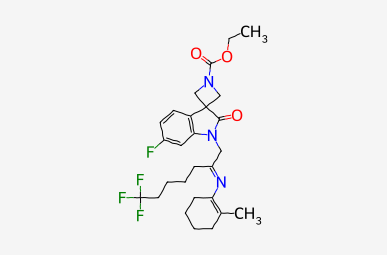 CCOC(=O)N1CC2(C1)C(=O)N(C/C(CCCCC(F)(F)F)=N/C1=C(C)CCCC1)c1cc(F)ccc12